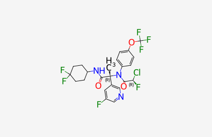 C[C@](C(=O)NC1CCC(F)(F)CC1)(c1cncc(F)c1)N(C(=O)[C@H](F)Cl)c1ccc(OC(F)(F)F)cc1